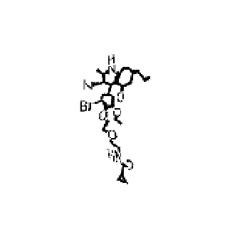 CCCC1CC(=O)C2=C(C1)NC(C)=C(C#N)C2c1cc(Br)c(OCCOCCNC(=O)C2CC2)c(OCC)c1